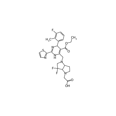 CCOC(=O)C1=C(CN2CC(F)(F)C3C2CCN3CC(=O)O)NC(c2nccs2)=NC1c1cccc(F)c1C